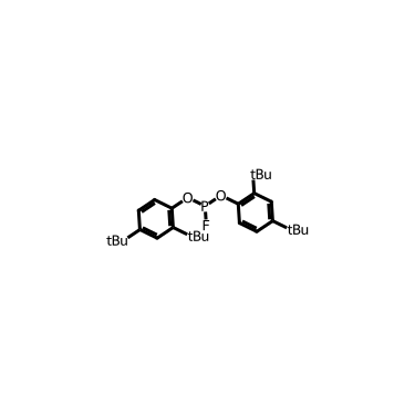 CC(C)(C)c1ccc(OP(F)Oc2ccc(C(C)(C)C)cc2C(C)(C)C)c(C(C)(C)C)c1